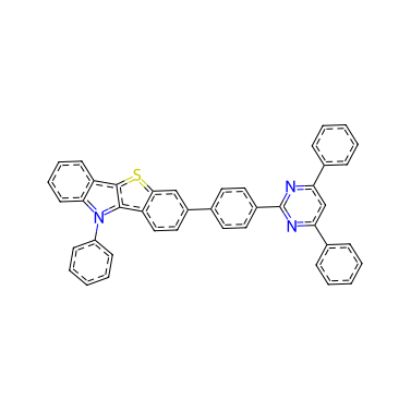 c1ccc(-c2cc(-c3ccccc3)nc(-c3ccc(-c4ccc5c(c4)sc4c6ccccc6n(-c6ccccc6)c54)cc3)n2)cc1